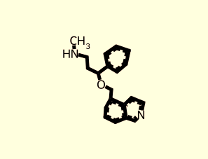 CNCCC(OCc1cccc2cnccc12)c1ccccc1